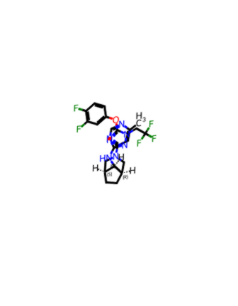 Cc1cc(N2C[C@H]3CC[C@@H](C2)[C@H]3Nc2nc(Oc3ccc(F)c(F)c3)n(CC(F)(F)F)n2)ncn1